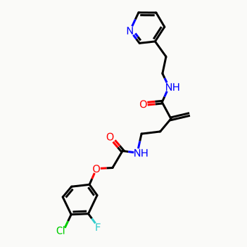 C=C(CCNC(=O)COc1ccc(Cl)c(F)c1)C(=O)NCCc1cccnc1